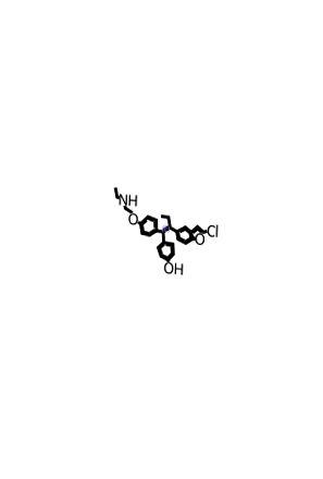 CCNCCOc1ccc(/C(=C(\CC)c2ccc3oc(Cl)cc3c2)c2ccc(O)cc2)cc1